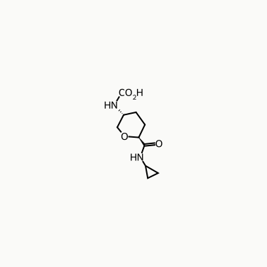 O=C(O)N[C@@H]1CC[C@@H](C(=O)NC2CC2)OC1